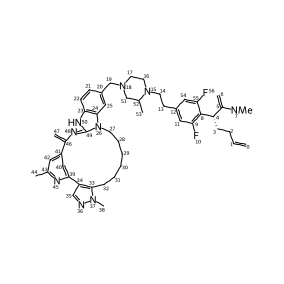 C=CCC[C@@H](C(=C)NC)c1c(F)cc(CCN2CCN(Cc3ccc4c(c3)N3CCCCCCc5c(cnn5C)-c5cc(cc(C)n5)C(=C)/N=C/3N4)CC2C)cc1F